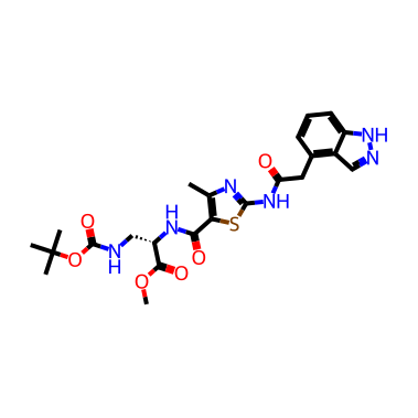 COC(=O)[C@H](CNC(=O)OC(C)(C)C)NC(=O)c1sc(NC(=O)Cc2cccc3[nH]ncc23)nc1C